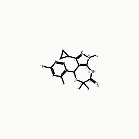 Cc1cc(F)ccc1C1SC(C)(C)C(=O)Nc2c1c(C1CC1)nn2C